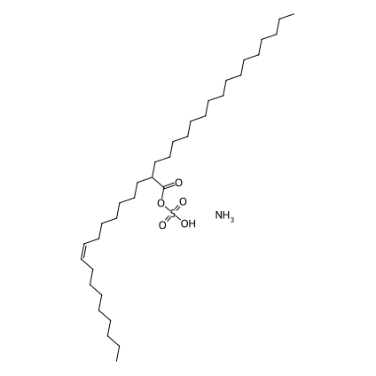 CCCCCCCC/C=C\CCCCCCC(CCCCCCCCCCCCCCCC)C(=O)OS(=O)(=O)O.N